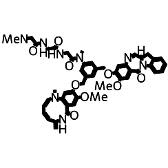 C=C1/C=C\C=C/N(C)c2cc(OCc3cc(COc4cc5c(cc4OC)C(=O)N4c6ccccc6C[C@H]4C=N5)cc(N(C)C(=O)CNC(=O)CNC(=O)CNC)c3)c(OC)cc2C(=O)N1